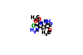 COC(=O)c1nc(-c2cc(OC)ccc2N)cc(N)c1Cl